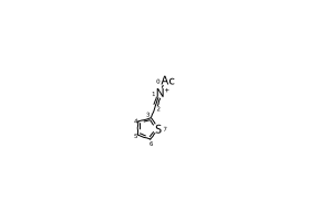 CC(=O)[N+]#Cc1cccs1